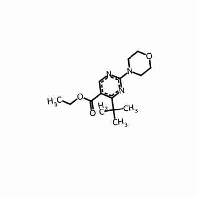 CCOC(=O)c1cnc(N2CCOCC2)nc1C(C)(C)C